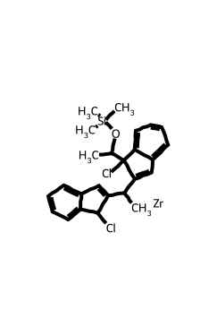 CC(C1=Cc2ccccc2C1Cl)C1=Cc2ccccc2C1(Cl)C(C)O[Si](C)(C)C.[Zr]